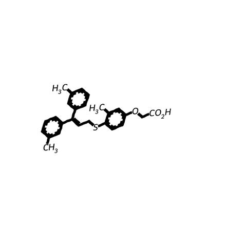 Cc1cccc(C(=CCSc2ccc(OCC(=O)O)cc2C)c2cccc(C)c2)c1